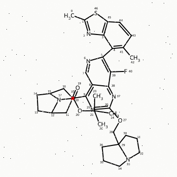 Cc1nc2c(-c3ncc4c(N5CC6CCC(C5)N6C(=O)OC(C)(C)C)nc(OCC56CCCN5CCC6)nc4c3F)c(C)ccc2s1